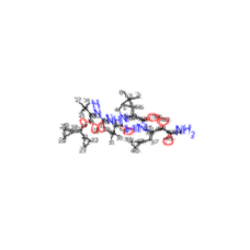 CC1(C)C2CN(C(=O)[C@@H](NC(=O)N[C@H](C(=O)OC(C3CC3)C3CC3)C(C)(C)C)C(C)(C)C)[C@H](C(=O)NC(CC3CC3)C(=O)C(N)=O)C21